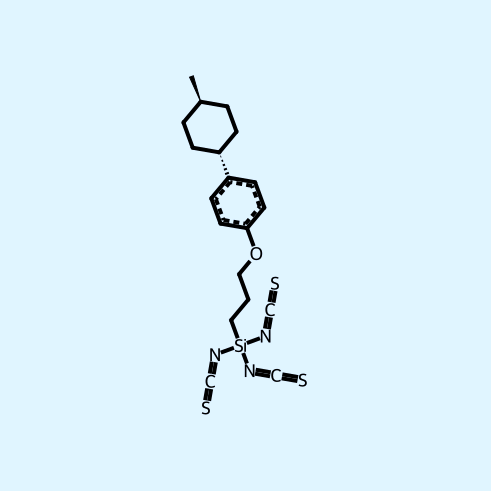 C[C@H]1CC[C@H](c2ccc(OCCC[Si](N=C=S)(N=C=S)N=C=S)cc2)CC1